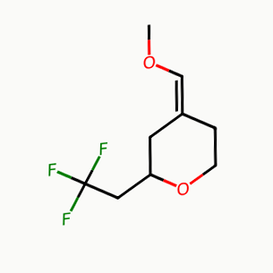 CO/C=C1/CCOC(CC(F)(F)F)C1